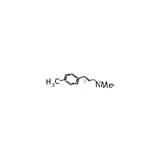 C[N]C/C=C/c1ccc(C)cc1